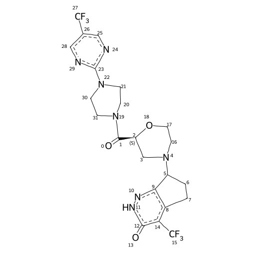 O=C([C@@H]1CN(C2CCc3c2n[nH]c(=O)c3C(F)(F)F)CCO1)N1CCN(c2ncc(C(F)(F)F)cn2)CC1